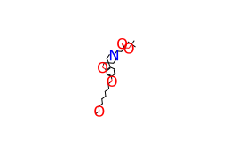 COCCCCCCCOc1ccc2c(c1)OCC21CCN(CCC(=O)OC(C)(C)C)CC1